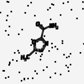 Cc1cnc(C(N)=O)o1